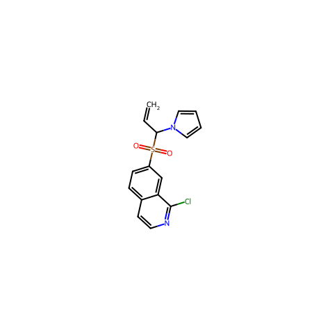 C=CC(n1cccc1)S(=O)(=O)c1ccc2ccnc(Cl)c2c1